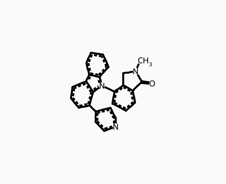 CN1Cc2c(cccc2-n2c3ccccc3c3cccc(-c4ccncc4)c32)C1=O